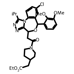 CCOC(=O)CC1CCN(C(=O)CC2OC(c3cccc(OC)c3OC)c3cc(Cl)ccc3-n3c(C(C)C)nnc32)CC1